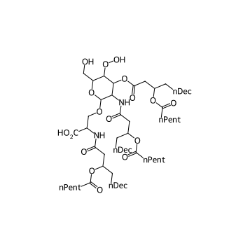 CCCCCCCCCCCC(CC(=O)NC(COC1OC(CO)C(OO)C(OC(=O)CC(CCCCCCCCCCC)OC(=O)CCCCC)C1NC(=O)CC(CCCCCCCCCCC)OC(=O)CCCCC)C(=O)O)OC(=O)CCCCC